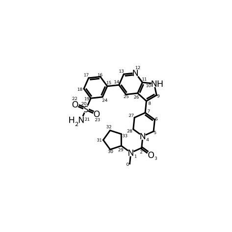 CN(C(=O)N1CC=C(c2c[nH]c3ncc(-c4cccc(S(N)(=O)=O)c4)cc23)CC1)C1CCCC1